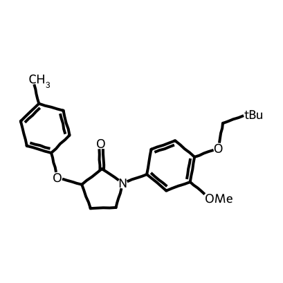 COc1cc(N2CCC(Oc3ccc(C)cc3)C2=O)ccc1OCC(C)(C)C